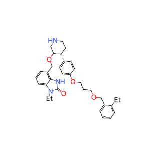 CCc1ccccc1COCCCOc1ccc([C@H]2CCNC[C@@H]2OCc2cccc3c2[nH]c(=O)n3CC)cc1